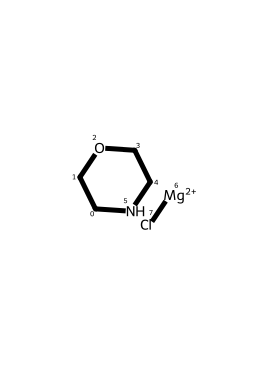 C1COCCN1.[Mg+2][Cl]